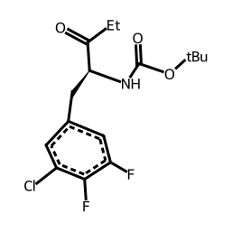 CCC(=O)[C@H](Cc1cc(F)c(F)c(Cl)c1)NC(=O)OC(C)(C)C